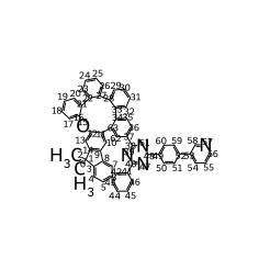 CC1(C)c2ccccc2-c2cc3c(cc21)Oc1ccccc1-c1ccccc1-c1ccccc1-c1ccc(-c2nc(-c4ccccc4)nc(-c4ccc(-c5cccnc5)cc4)n2)cc1-3